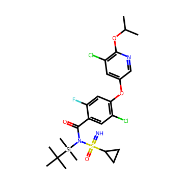 CC(C)Oc1ncc(Oc2cc(F)c(C(=O)N([Si](C)(C)C(C)(C)C)S(=N)(=O)C3CC3)cc2Cl)cc1Cl